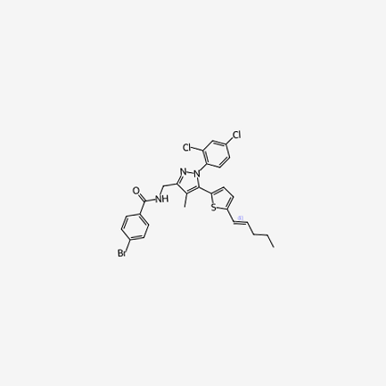 CCC/C=C/c1ccc(-c2c(C)c(CNC(=O)c3ccc(Br)cc3)nn2-c2ccc(Cl)cc2Cl)s1